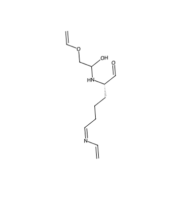 C=C/N=C\CCC[C@@H](C=O)NC(O)COC=C